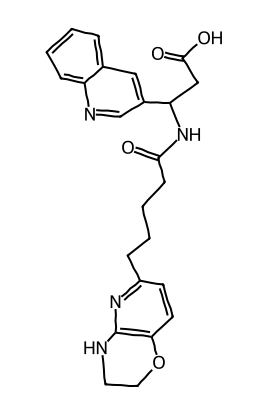 O=C(O)CC(NC(=O)CCCCc1ccc2c(n1)NCCO2)c1cnc2ccccc2c1